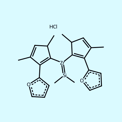 CC1=CC(C)[C]([Zr]([C]2=C(c3ccco3)C(C)=CC2C)=[Si](C)C)=C1c1ccco1.Cl